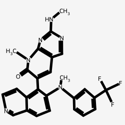 CNc1ncc2cc(-c3c(N(C)c4cccc(C(F)(F)F)c4)ccc4cnccc34)c(=O)n(C)c2n1